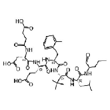 CCCC(C=O)NC(=O)[C@H](CC(C)C)NC(=O)[C@@H](NC(=O)[C@H](Cc1ccccc1C)NC(=O)[C@H](CCC(=O)O)NC(=O)[C@H](CC(=O)O)NC(=O)CCC(=O)O)C(C)(C)C